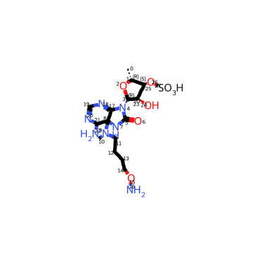 C[C@H]1O[C@@H](N2C(=O)NC3(N(C)CCCCON)C2=NC=NC3N)[C@H](O)[C@@H]1OS(=O)(=O)O